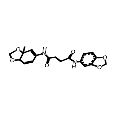 CC12C=C(NC(=O)CCC(=O)Nc3ccc4c(c3)OCO4)C=CC1OCO2